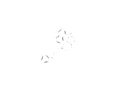 CC(NS(=O)(=O)c1ccc(Cl)c2ncccc12)N1CCCN(CCCOc2ccccc2)CC1